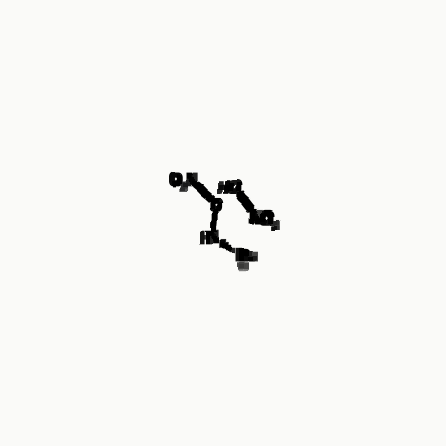 CC[C@@H](C)NO[N+](=O)[O-].O=[N+]([O-])O